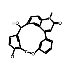 Cn1c(=O)cc2c3cc(ccc31)C(O)c1ccc(Cl)c(c1)COc1cccc-2c1